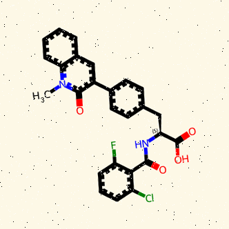 Cn1c(=O)c(-c2ccc(C[C@H](NC(=O)c3c(F)cccc3Cl)C(=O)O)cc2)cc2ccccc21